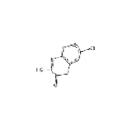 O=C1Cc2cc(Cl)ccc2N=C1O